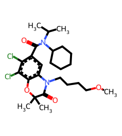 COCCCCN1C(=O)C(C)(C)Oc2c1cc(C(=O)N(C(C)C)C1CCCCC1)c(Cl)c2Cl